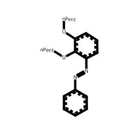 CCCCCOc1cccc(N=Nc2ccccc2)c1OCCCCC